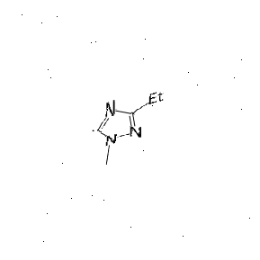 CCc1n[c]n(C)n1